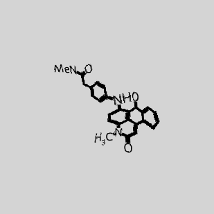 CNC(=O)Cc1ccc(Nc2ccc3c4c(cc(=O)n3C)-c3ccccc3C(=O)c24)cc1